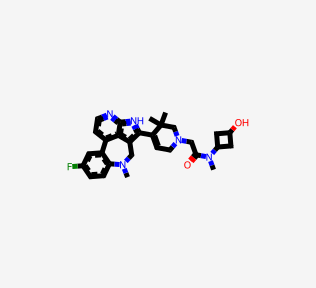 CN1Cc2c(C3=CCN(CC(=O)N(C)C4CC(O)C4)CC3(C)C)[nH]c3nccc(c23)-c2cc(F)ccc21